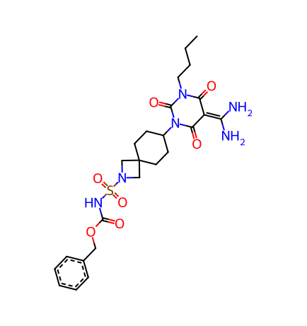 CCCCN1C(=O)C(=C(N)N)C(=O)N(C2CCC3(CC2)CN(S(=O)(=O)NC(=O)OCc2ccccc2)C3)C1=O